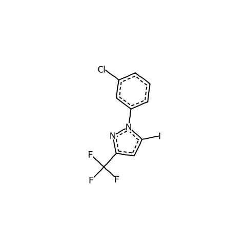 FC(F)(F)c1cc(I)n(-c2cccc(Cl)c2)n1